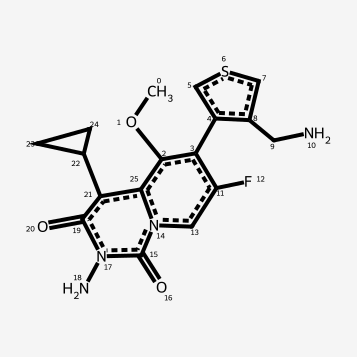 COc1c(-c2cscc2CN)c(F)cn2c(=O)n(N)c(=O)c(C3CC3)c12